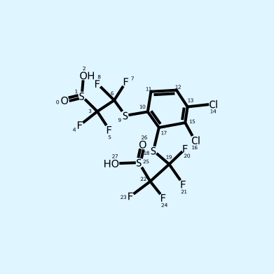 O=S(O)C(F)(F)C(F)(F)Sc1ccc(Cl)c(Cl)c1SC(F)(F)C(F)(F)S(=O)O